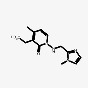 Cc1ccn(NCc2nccn2C)c(=O)c1CC(=O)O